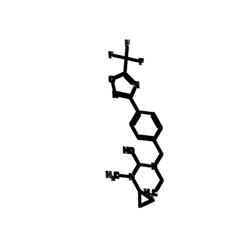 CCN(Cc1ccc(-c2noc(C(F)(F)F)n2)cc1)C(O)N(C)C1CC1